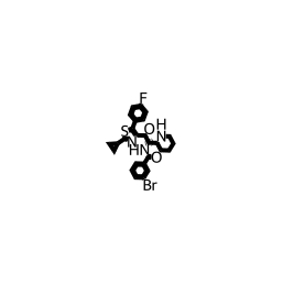 O=C(N[C@H](C(=O)c1nc(C2CC2)sc1-c1ccc(F)cc1)C1CCCCN1)c1cccc(Br)c1